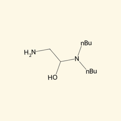 CCCCN(CCCC)C(O)CN